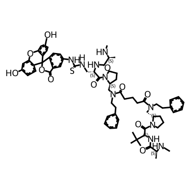 CN[C@@H](C)C(=O)N[C@@H](CNC(=S)Nc1ccc2c(c1)C(=O)OC21c2ccc(O)cc2Oc2cc(O)ccc21)C(=O)N1CCC[C@H]1CN(CCc1ccccc1)C(=O)CCCC(=O)N(CCc1ccccc1)C[C@@H]1CCCN1C(=O)[C@@H](NC(=O)[C@H](C)NC)C(C)(C)C